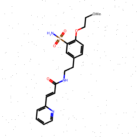 COCCOc1ccc(CCNC(=O)C=Cc2ccccn2)cc1S(N)(=O)=O